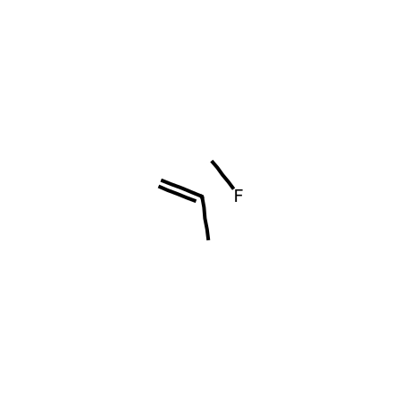 C=CC.CF